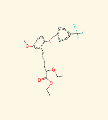 CCOC(=O)C(CCC=Cc1cc(OC)ccc1OCc1ccc(C(F)(F)F)cc1)OCC